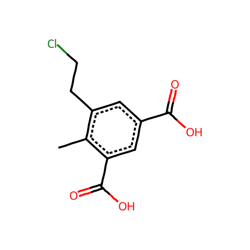 Cc1c(CCCl)cc(C(=O)O)cc1C(=O)O